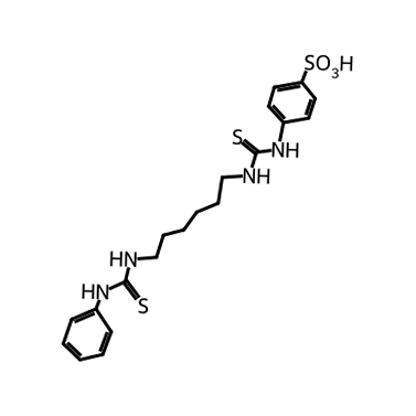 O=S(=O)(O)c1ccc(NC(=S)NCCCCCCNC(=S)Nc2ccccc2)cc1